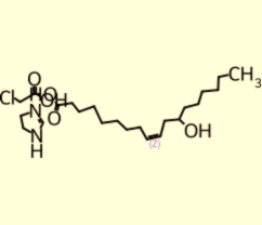 C1=NCCN1.CCCCCCC(O)C/C=C\CCCCCCCC(=O)O.O=C(O)CCl